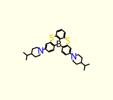 CC(C)C1CCN(c2ccc3c(c2)Sc2cccc4c2B3c2ccc(N3CCC(C(C)C)CC3)cc2S4)CC1